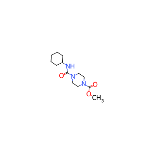 COC(=O)N1CCN(C(=O)NC2CCCCC2)CC1